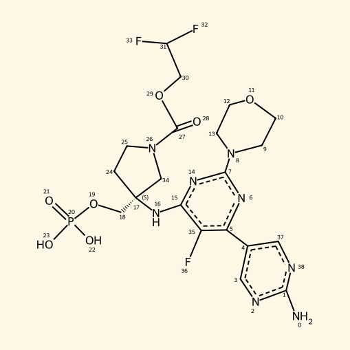 Nc1ncc(-c2nc(N3CCOCC3)nc(N[C@@]3(COP(=O)(O)O)CCN(C(=O)OCC(F)F)C3)c2F)cn1